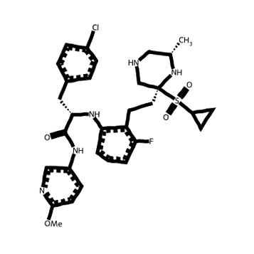 COc1ccc(NC(=O)[C@H](Cc2ccc(Cl)cc2)Nc2cccc(F)c2CC[C@]2(S(=O)(=O)C3CC3)CNC[C@H](C)N2)cn1